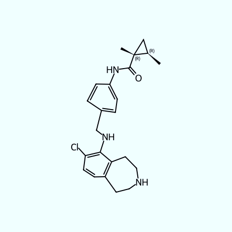 C[C@@H]1C[C@@]1(C)C(=O)Nc1ccc(CNc2c(Cl)ccc3c2CCNCC3)cc1